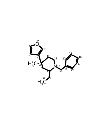 CCC1C[C@@](C)(c2ccoc2)CCN1Cc1ccccc1